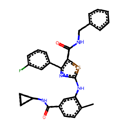 Cc1ccc(C(=O)NC2CC2)cc1Nc1nc(-c2cccc(F)c2)c(C(=O)NCc2ccccc2)s1